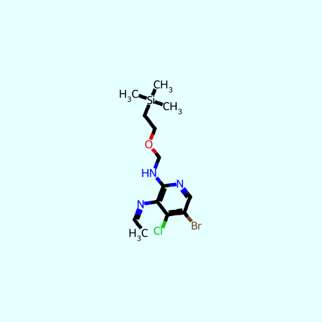 C/C=N\c1c(NCOCC[Si](C)(C)C)ncc(Br)c1Cl